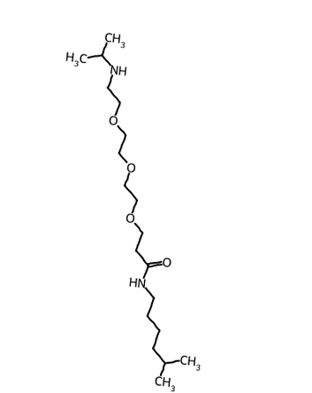 CC(C)CCCCNC(=O)CCOCCOCCOCCNC(C)C